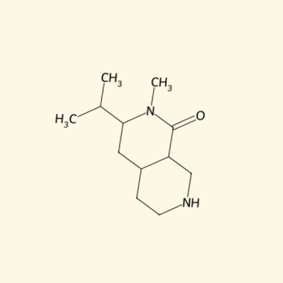 CC(C)C1CC2CCNCC2C(=O)N1C